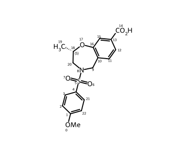 COc1ccc(S(=O)(=O)N2Cc3ccc(C(=O)O)cc3O[C@@H](C)C2)cc1